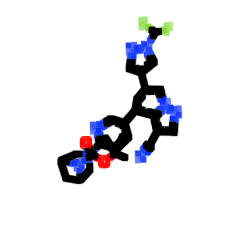 CC(C)(C)OC(=O)N1C2CC1CN(c1ccc(-c3cc(-c4cnn(C(F)F)c4)cn4ncc(C#N)c34)cn1)C2